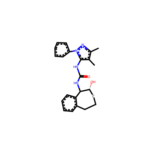 Cc1nn(-c2ccccc2)c(NC(=O)NC2c3ccccc3CCC[C@H]2O)c1C